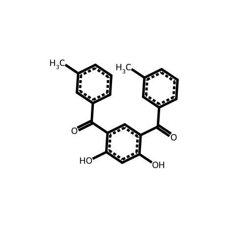 Cc1cccc(C(=O)c2cc(C(=O)c3cccc(C)c3)c(O)cc2O)c1